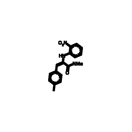 CNC(=O)/C(=C\c1ccc(C)cc1)Nc1ccccc1[N+](=O)[O-]